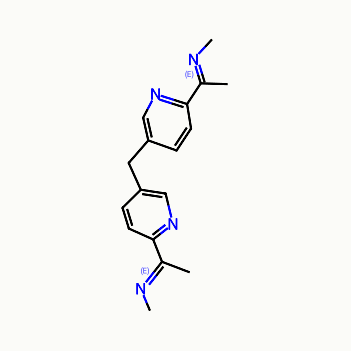 C/N=C(\C)c1ccc(Cc2ccc(/C(C)=N/C)nc2)cn1